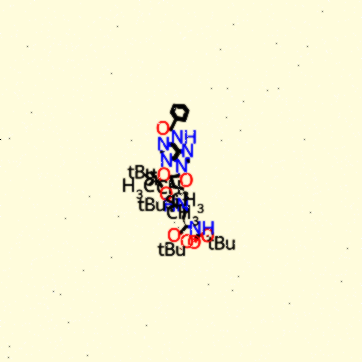 CC(C)(C)OC(=O)N[C@@H](CCNC[C@H]1O[C@@H](n2cnc3c(NC(=O)c4ccccc4)ncnc32)[C@H](O[Si](C)(C)C(C)(C)C)[C@@H]1O[Si](C)(C)C(C)(C)C)C(=O)OC(C)(C)C